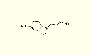 CC(=O)Oc1ccc2c(CCN(C)C(C)C)c[nH]c2c1